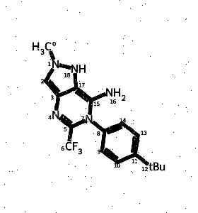 CN1C=C2N=C(C(F)(F)F)N(c3ccc(C(C)(C)C)cc3)C(N)=C2N1